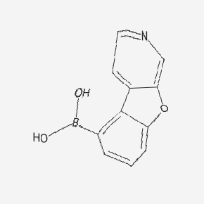 OB(O)c1cccc2oc3cnccc3c12